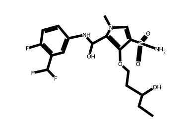 CCC(O)CCOc1c(S(N)(=O)=O)cn(C)c1C(O)Nc1ccc(F)c(C(F)F)c1